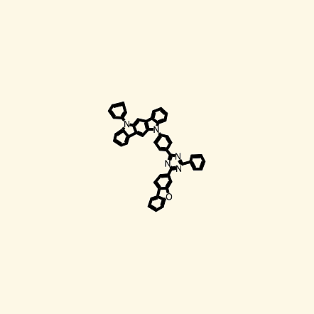 c1ccc(-c2nc(-c3ccc(-n4c5ccccc5c5cc6c(cc54)c4ccccc4n6-c4ccccc4)cc3)nc(-c3ccc4c(c3)oc3ccccc34)n2)cc1